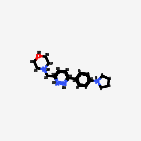 c1cc(N2CCCC2)ccc1-c1ccc(CN2CCOCC2)nn1